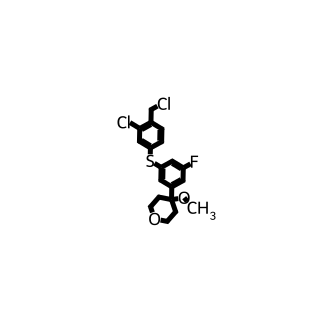 COC1(c2cc(F)cc(Sc3ccc(CCl)c(Cl)c3)c2)CCOCC1